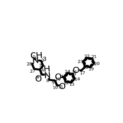 CN1CCC(C(=O)NCC2COc3ccc(OCc4ccccc4)cc3O2)CC1